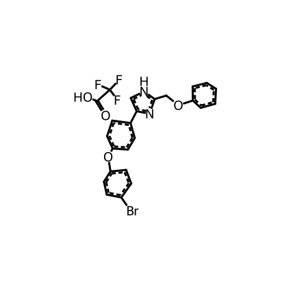 Brc1ccc(Oc2ccc(-c3c[nH]c(COc4ccccc4)n3)cc2)cc1.O=C(O)C(F)(F)F